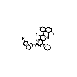 C#Cc1c(F)ccc2cccc(-c3ncc4c(N5CCCCC5)nc(OC[C@@]56CCCN5C[C@H](F)C6)nc4c3F)c12